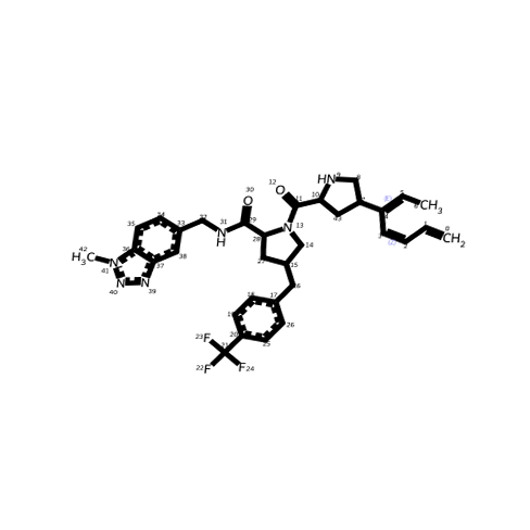 C=C/C=C\C(=C/C)C1CNC(C(=O)N2CC(Cc3ccc(C(F)(F)F)cc3)CC2C(=O)NCc2ccc3c(c2)nnn3C)C1